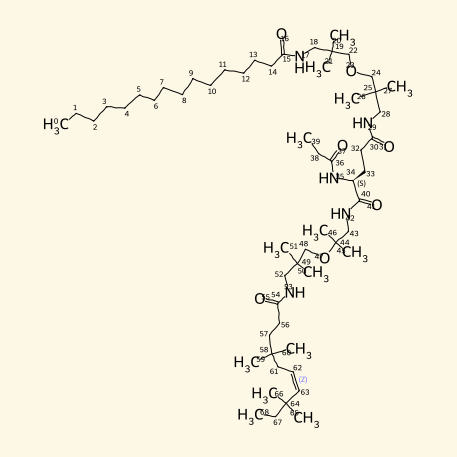 CCCCCCCCCCCCCCCC(=O)NCC(C)(C)COCC(C)(C)CNC(=O)CC[C@H](NC(=O)CC)C(=O)NCC(C)(C)OCC(C)(C)CNC(=O)CCC(C)(C)C/C=C\C(C)(C)CC